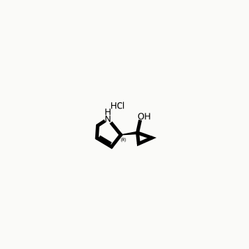 Cl.OC1([C@H]2C=CCN2)CC1